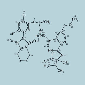 C#CC(C)Oc1cc(N2C(=O)C3=C(CCCC3)C2=O)c(F)cc1Cl.COCc1cnc(C2=NC(C)(C(C)C)C(=O)N2)c(C(=O)O)c1